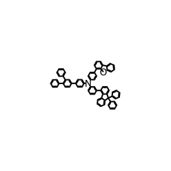 c1ccc(-c2ccc(-c3ccc(N(c4ccc(-c5cccc6c5oc5ccccc56)cc4)c4cccc(-c5cccc6c5-c5ccccc5C6(c5ccccc5)c5ccccc5)c4)cc3)cc2-c2ccccc2)cc1